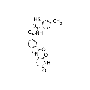 Cc1ccc(C(=O)NC(=O)c2ccc3c(c2)C(=O)N(C2CCC(=O)NC2=O)C3)c(S)c1